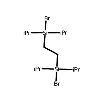 CC(C)[Si](Br)(CC[Si](Br)(C(C)C)C(C)C)C(C)C